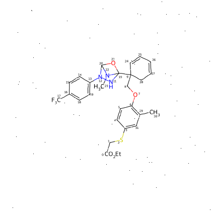 CCOC(=O)CSc1ccc(OCC2(C34NN(c5ccc(C(F)(F)F)cc5)C(O3)N4C)C=CC=CC2)c(C)c1